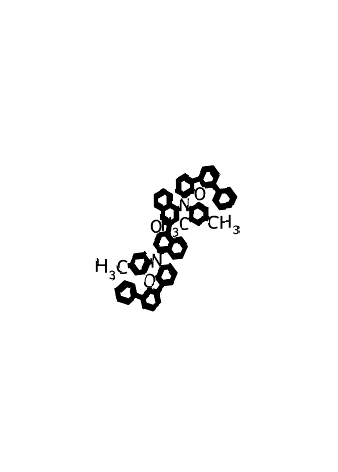 CC1=CC(C)C(N(c2cc3c(oc4cc(N(c5ccc(C)cc5)c5cccc6c5oc5c(-c7ccccc7)cccc56)c5ccccc5c43)c3ccccc23)c2cccc3c2oc2c(-c4ccccc4)cccc23)C=C1